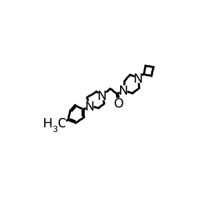 Cc1ccc(N2CCN(CC(=O)N3CCN(C4CCC4)CC3)CC2)cc1